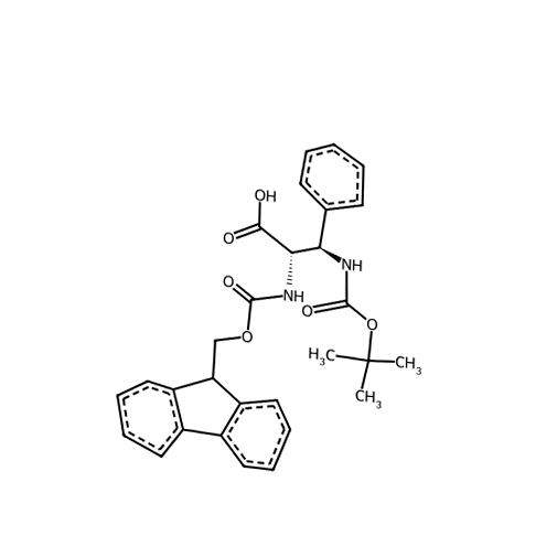 CC(C)(C)OC(=O)N[C@H](c1ccccc1)[C@H](NC(=O)OCC1c2ccccc2-c2ccccc21)C(=O)O